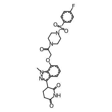 Cn1nc(C2CCC(=O)NC2=O)c2cccc(OCC(=O)N3CCN(S(=O)(=O)c4ccc(F)cc4)CC3)c21